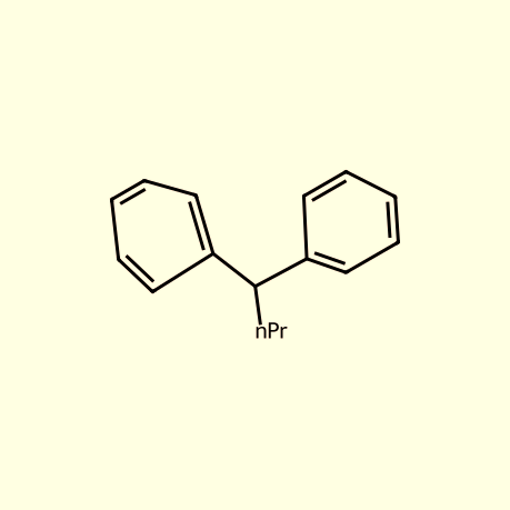 CCCC(c1ccccc1)c1ccccc1